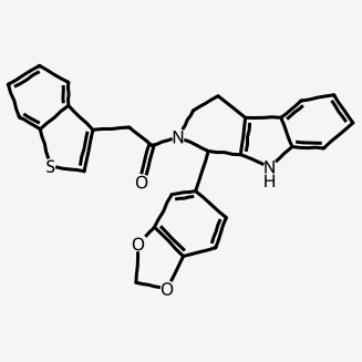 O=C(Cc1csc2ccccc12)N1CCc2c([nH]c3ccccc23)C1c1ccc2c(c1)OCO2